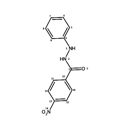 O=C(NNc1ccccc1)c1ccc([N+](=O)[O-])cc1